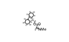 CNN(C)C(=O)OCC1c2ccccc2-c2ccccc21